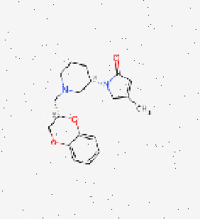 CC1=CC(=O)N([C@H]2CCCN(C[C@H]3COc4ccccc4O3)C2)C1